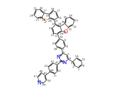 c1ccc(-c2cc(-c3ccc(-c4ccc(-c5cccc6c5sc5ccccc56)c5c4oc4ccccc45)cc3)nc(-c3ccc(-c4ccncc4)cc3)n2)cc1